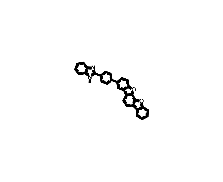 Cn1c(-c2ccc(-c3ccc4oc5c(ccc6c7ccccc7oc65)c4c3)cc2)nc2ccccc21